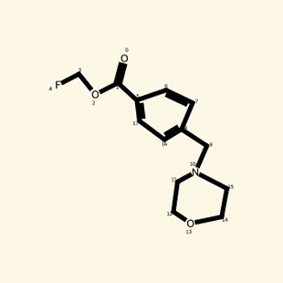 O=C(OCF)c1ccc(CN2CCOCC2)cc1